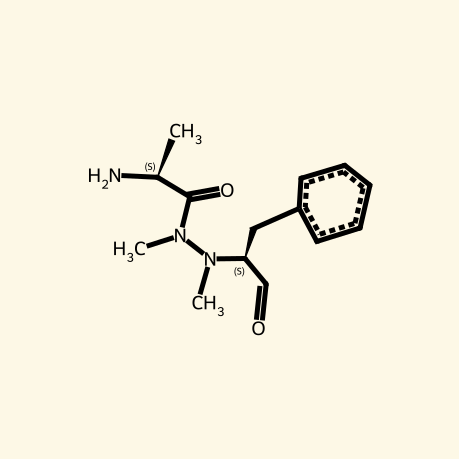 C[C@H](N)C(=O)N(C)N(C)[C@H](C=O)Cc1ccccc1